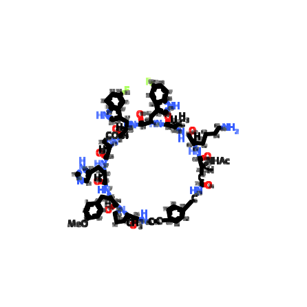 COc1ccc(C[C@@H]2NC(=O)[C@@H](Cc3cnc[nH]3)NC(=O)[C@H](CC(=O)O)NC(=O)[C@H](Cc3c[nH]c4ccc(F)cc34)NC(=O)C(Cc3c[nH]c4ccc(F)cc34)NC(=O)[C@@H](C)NC(=O)[C@H](CCCCN)NC(=O)[C@@H](NC(C)=O)CC(=O)NCc3ccc(cc3)CCNC(=O)[C@]3(C)CCCN3C2=O)cc1